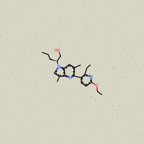 CCC[C@@H](CO)n1cc(C)c2nc(-c3ccc(OCC)nc3CC)c(C)cc21